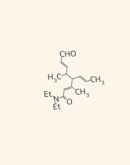 C/C=C/C(/C(C)=C/C(=O)N(CC)CC)C(C)/C=C/C=O